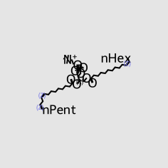 CCCCC/C=C\C/C=C\CCCCCCCC(=O)O[C@H](COC(=O)CCCCCCCCC/C=C\CCCCCC)COP(=O)([O-])OCC[N+](C)(C)C